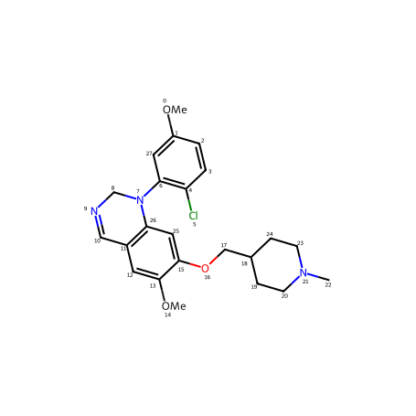 COc1ccc(Cl)c(N2CN=Cc3cc(OC)c(OCC4CCN(C)CC4)cc32)c1